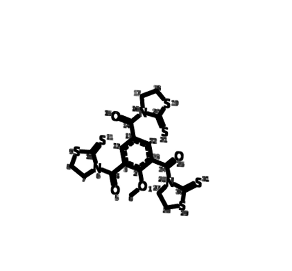 COc1c(C(=O)N2CCSC2=S)cc(C(=O)N2CCSC2=S)cc1C(=O)N1CCSC1=S